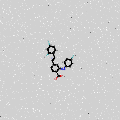 O=C(O)c1ccc(/C=C/c2ccc(F)cc2F)cc1Nc1ccc(F)cc1